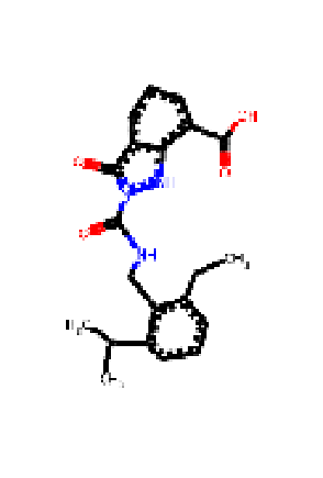 CCc1cccc(C(C)C)c1CNC(=O)n1[nH]c2c(C(=O)O)cccc2c1=O